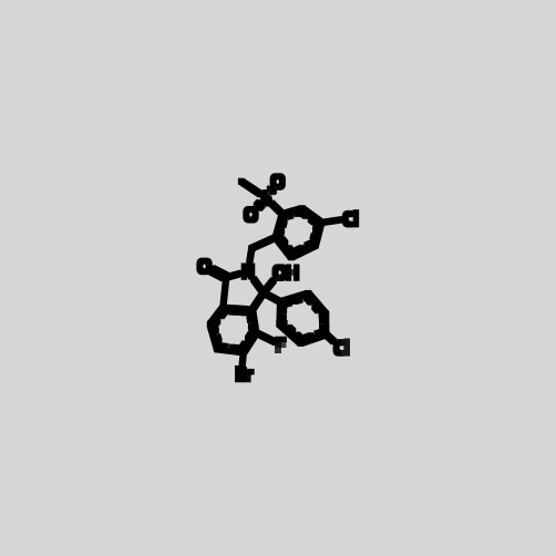 CS(=O)(=O)c1cc(Cl)ccc1CN1C(=O)c2ccc(Br)c(F)c2C1(O)c1ccc(Cl)cc1